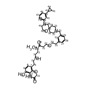 CN(CCNCCc1ccc(O)c2c1OCC(=O)N2)C(=O)CCOCCc1cccc(CN2CCC3(CC2)CN(c2cc(C4CC4)ccn2)CCO3)c1